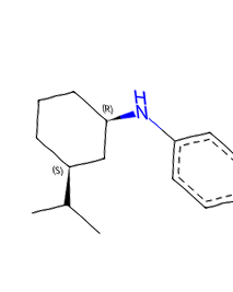 CC(C)[C@H]1CCC[C@@H](Nc2ccccc2)C1